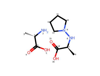 C[C@H](N)C(=O)O.C[C@H](NN1CCCC1)C(=O)O